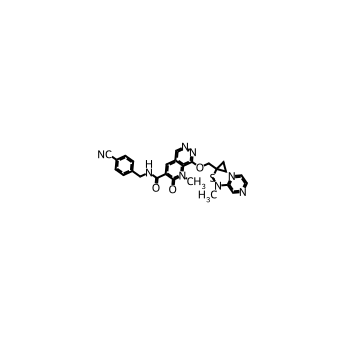 CN(SC1(COc2nncc3cc(C(=O)NCc4ccc(C#N)cc4)c(=O)n(C)c23)CC1)c1cnccn1